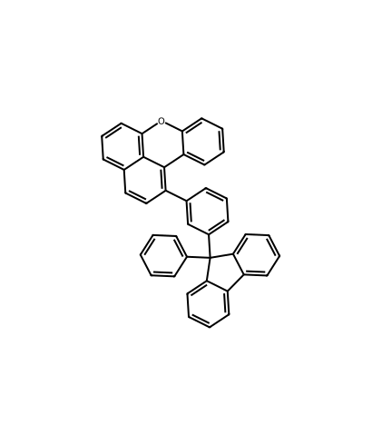 c1ccc(C2(c3cccc(-c4ccc5cccc6c5c4-c4ccccc4O6)c3)c3ccccc3-c3ccccc32)cc1